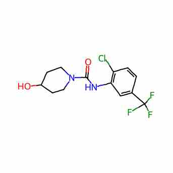 O=C(Nc1cc(C(F)(F)F)ccc1Cl)N1CCC(O)CC1